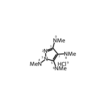 CNc1nn(NC)c(NC)c1NC.Cl